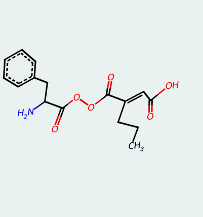 CCC/C(=C\C(=O)O)C(=O)OOC(=O)C(N)Cc1ccccc1